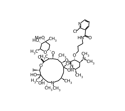 CO[C@]1(C)C[C@H](O[C@H]2[C@H](C)[C@@H](O[C@@H]3O[C@H](C)C[C@H](N(C)C)[C@H]3OCCCNC(=O)c3cccnc3Cl)[C@](C)(O)C[C@@H](C)CN(C)[C@H](C)[C@@H](O)[C@](C)(O)[C@@H](I)OC(=O)[C@@H]2C)O[C@@H](C)[C@@H]1O